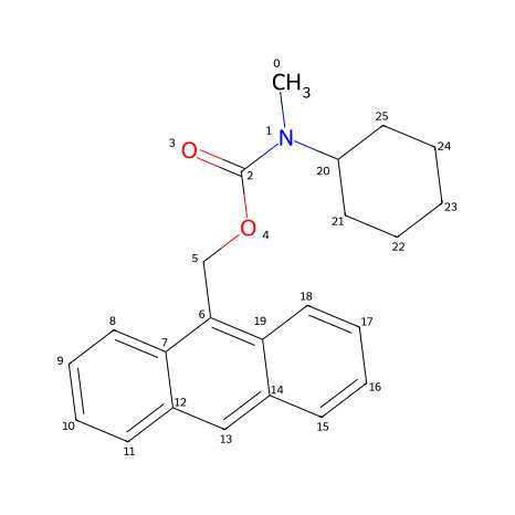 CN(C(=O)OCc1c2ccccc2cc2ccccc12)C1CCCCC1